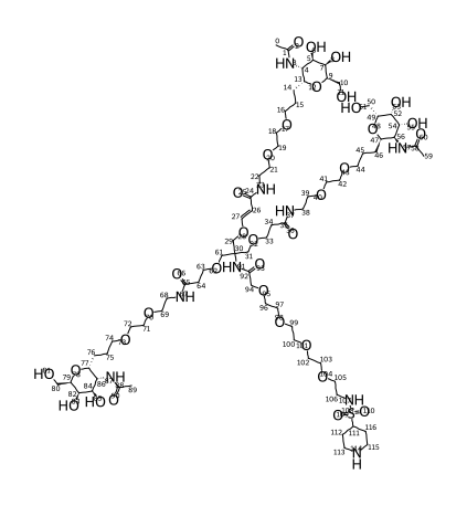 CC(=O)N[C@@H]1[C@@H](O)[C@@H](O)[C@@H](CO)O[C@@H]1CCCOCCOCCNC(=O)C=COCC(COCCC(=O)NCCOCCOCCC[C@H]1O[C@H](CO)[C@H](O)[C@H](O)[C@H]1NC(C)=O)(COCCC(=O)NCCOCCOCCC[C@H]1O[C@H](CO)[C@H](O)[C@H](O)[C@H]1NC(C)=O)NC(=O)COCCOCCOCCOCCNS(=O)(=O)C1CCNCC1